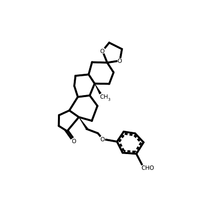 C[C@]12CCC3(CC1CCC1C4CCC(=O)[C@@]4(CCOc4cccc(C=O)c4)CCC12)OCCO3